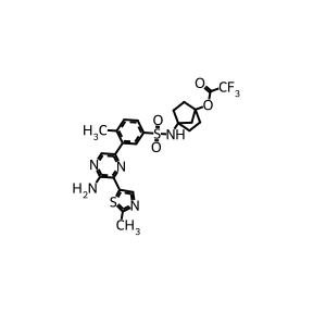 Cc1ncc(-c2nc(-c3cc(S(=O)(=O)NC45CCC(OC(=O)C(F)(F)F)(CC4)C5)ccc3C)cnc2N)s1